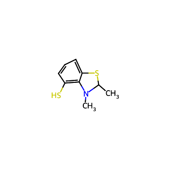 CC1Sc2cccc(S)c2N1C